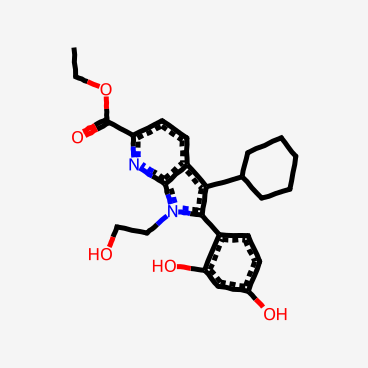 CCOC(=O)c1ccc2c(C3CCCCC3)c(-c3ccc(O)cc3O)n(CCO)c2n1